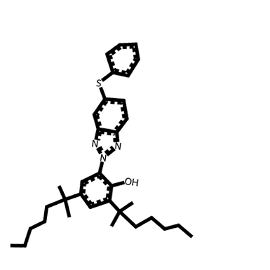 CCCCCC(C)(C)c1cc(-n2nc3ccc(Sc4ccccc4)cc3n2)c(O)c(C(C)(C)CCCCC)c1